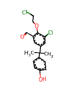 CC(C)(c1ccc(O)cc1)c1cc(Cl)c(OCCCl)c(C=O)c1